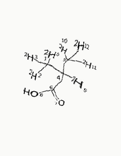 [2H]C([2H])([2H])C([2H])(C(=O)O)C([2H])([2H])[2H]